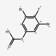 O=C(S)Sc1cc(Br)c(F)c(Br)c1